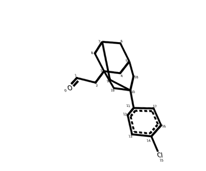 O=CCC12CC3CC(C1)CC(c1ccc(Cl)cc1)(C3)C2